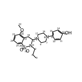 CCCN1C(N2CCN(c3ccc(O)cc3)CC2)Cc2c(OC)cccc2S1(=O)=O